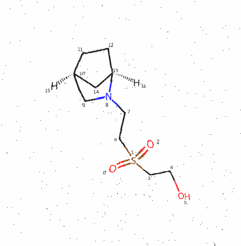 O=S(=O)(CCO)CCN1C[C@H]2CC[C@@H]1C2